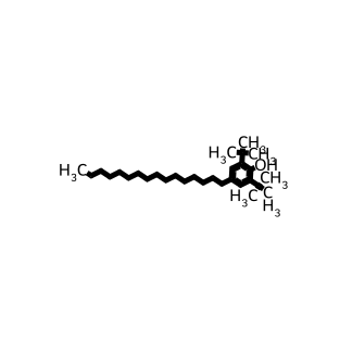 CCCCCCCCCCCCCCCCc1cc(C(C)(C)C)c(O)c(C(C)(C)C)c1